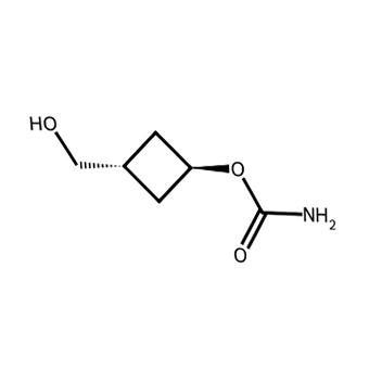 NC(=O)O[C@H]1C[C@H](CO)C1